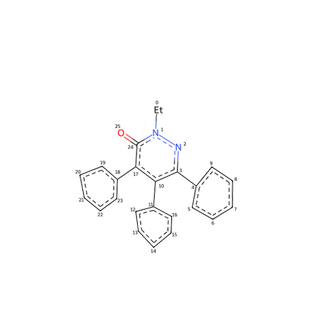 [CH2]Cn1nc(-c2ccccc2)c(-c2ccccc2)c(-c2ccccc2)c1=O